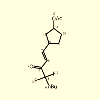 CCCCC(F)(F)C(=O)/C=C/C1CCC(OC(C)=O)C1